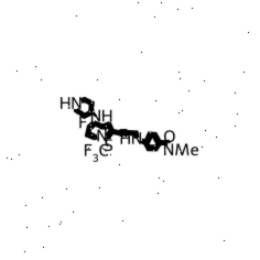 CNC(=O)c1ccc(NCC#Cc2cc3c(N[C@@H]4CCNC[C@@H]4F)cccn3c2SC(F)(F)F)cc1